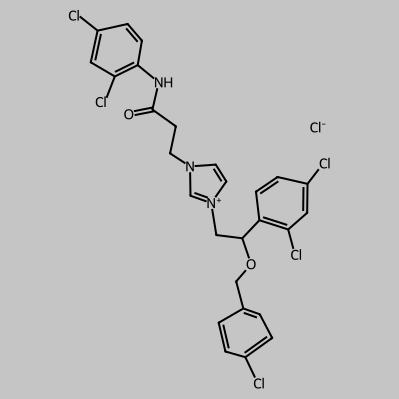 O=C(CCn1cc[n+](CC(OCc2ccc(Cl)cc2)c2ccc(Cl)cc2Cl)c1)Nc1ccc(Cl)cc1Cl.[Cl-]